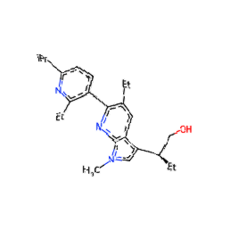 CCc1cc2c([C@H](CC)CO)cn(C)c2nc1-c1ccc(C(C)C)nc1CC